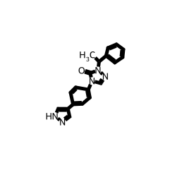 CC(c1ccccc1)n1ncn(-c2ccc(-c3cn[nH]c3)cc2)c1=O